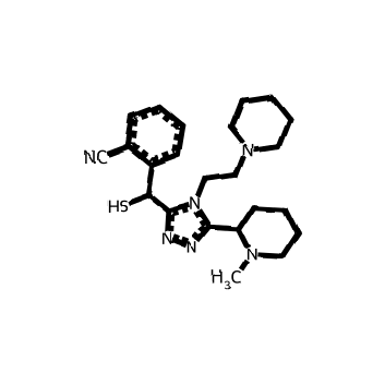 CN1CCCCC1c1nnc(C(S)c2ccccc2C#N)n1CCN1CCCCC1